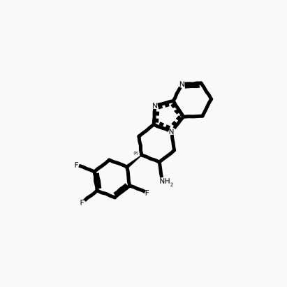 NC1Cn2c(nc3c2CCC=N3)C[C@@H]1C1CC(F)=C(F)C=C1F